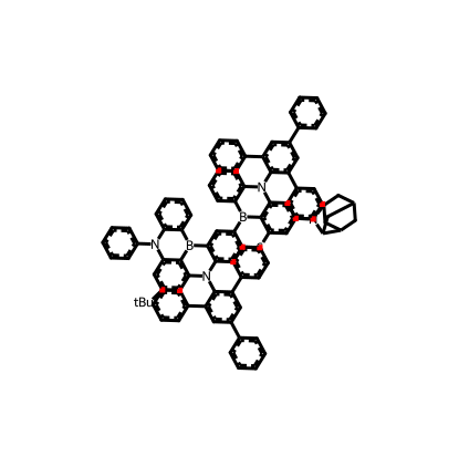 CC(C)(C)c1cc2c3c(c1)N(c1c(-c4ccccc4)cc(-c4ccccc4)cc1-c1ccccc1)c1cc4c(cc1B3c1ccccc1N2c1ccccc1)B1c2ccccc2N(c2c(-c3ccccc3)cc(-c3ccccc3)cc2-c2ccccc2)c2cc(N3C5CC6CC(C5)C3C6)cc(c21)S4